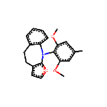 COc1cc(C)cc(OC)c1N1c2ccccc2CCc2ccoc21